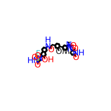 COc1cc(CC(=O)Nc2ccc3c(F)c(N4CC(=O)NS4(=O)=O)c(O)cc3c2)ccc1-c1ccc2c(c1)n(C)c(=O)n2C1CCC(=O)NC1=O